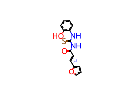 O=C(/C=C/c1ccco1)NC(=S)Nc1ccccc1O